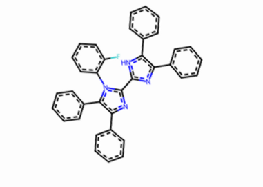 Fc1ccccc1-n1c(-c2nc(-c3ccccc3)c(-c3ccccc3)[nH]2)nc(-c2ccccc2)c1-c1ccccc1